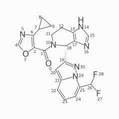 O=C(c1ocnc1C1CC1)N1CCc2[nH]cnc2[C@@H]1c1cc2cccc(C(F)F)n2n1